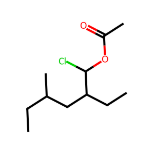 CCC(C)CC(CC)C(Cl)OC(C)=O